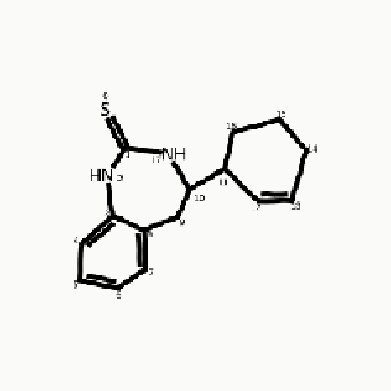 S=C1Nc2ccccc2CC(C2C=CCCC2)N1